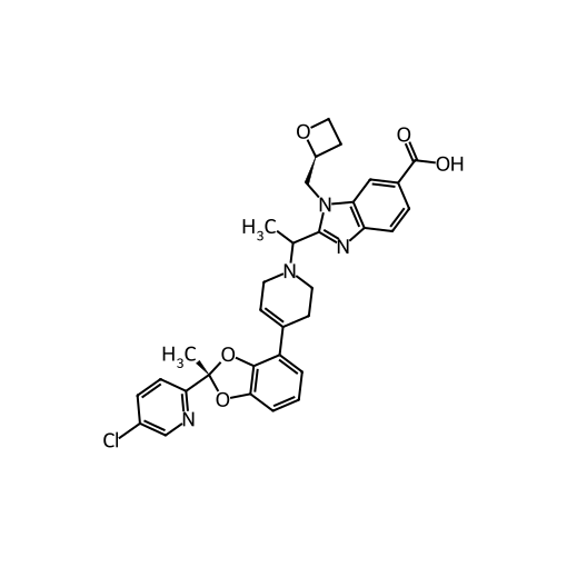 CC(c1nc2ccc(C(=O)O)cc2n1C[C@@H]1CCO1)N1CC=C(c2cccc3c2O[C@@](C)(c2ccc(Cl)cn2)O3)CC1